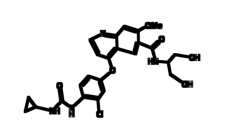 COc1cc2nccc(Oc3ccc(NC(=O)NC4CC4)c(Cl)c3)c2cc1C(=O)NC(CO)CO